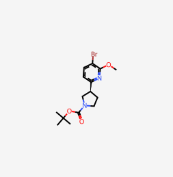 COc1nc([C@H]2CCN(C(=O)OC(C)(C)C)C2)ccc1Br